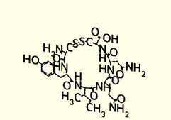 CCC(C)C1NC(=O)C(Cc2ccc(O)cc2)NC(=O)C(N)CSSCC(C(=O)O)NC(=O)C(CC(N)=O)NC(=O)C(CCC(N)=O)NC1=O